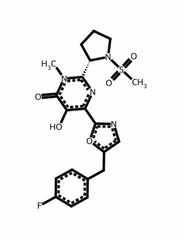 Cn1c([C@@H]2CCCN2S(C)(=O)=O)nc(-c2ncc(Cc3ccc(F)cc3)o2)c(O)c1=O